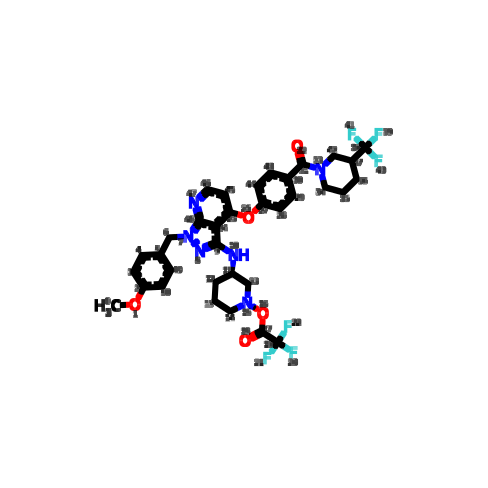 COc1ccc(Cn2nc(N[C@@H]3CCCN(OC(=O)C(F)(F)F)C3)c3c(Oc4ccc(C(=O)N5CCCC(C(F)(F)F)C5)cc4)ccnc32)cc1